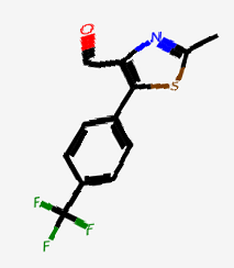 Cc1nc(C=O)c(-c2ccc(C(F)(F)F)cc2)s1